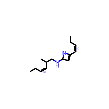 CC/C=C\C1=CC(NCC(C)/C=C\CC)N1